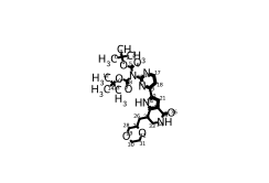 CC(C)(C)OC(=O)N(C(=O)OC(C)(C)C)c1nccc(-c2cc3c([nH]2)C(CC2COCCO2)CNC3=O)n1